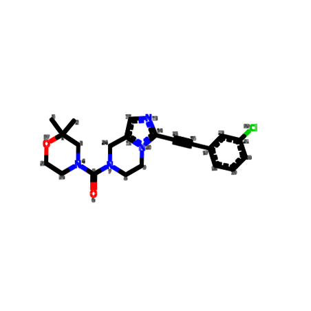 CC1(C)CN(C(=O)N2CCn3c(cnc3C#Cc3cccc(Cl)c3)C2)CCO1